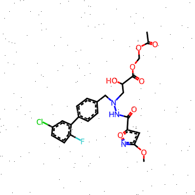 COc1cc(C(=O)NN(Cc2ccc(-c3cc(Cl)ccc3F)cc2)CC(O)C(=O)OCOC(C)=O)on1